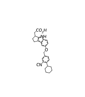 [C-]#[N+]c1cc(COc2ccc3[nH]c4c(c3c2)CCC4CC(=O)O)ccc1C1CCCCC1